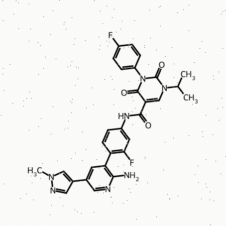 CC(C)n1cc(C(=O)Nc2ccc(-c3cc(-c4cnn(C)c4)cnc3N)c(F)c2)c(=O)n(-c2ccc(F)cc2)c1=O